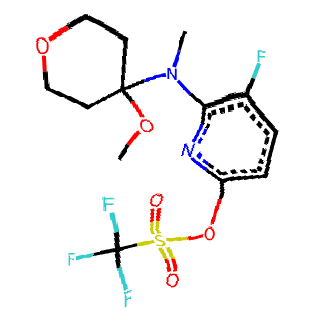 COC1(N(C)c2nc(OS(=O)(=O)C(F)(F)F)ccc2F)CCOCC1